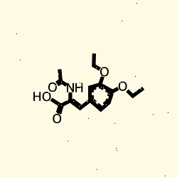 CCOc1ccc(C=C(NC(C)=O)C(=O)O)cc1OCC